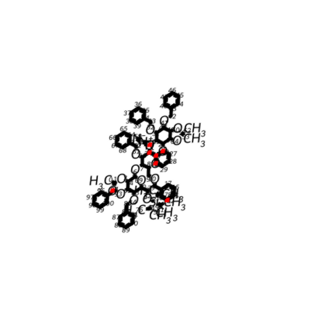 CC(=O)OC1C(OC2C(COCc3ccccc3)OC(OC3C(OCc4ccccc4)C(OCc4ccccc4)C(OCc4ccccc4)C4OC(C)(C)OC34)C(N=[N+]=[N-])C2OCc2ccccc2)OC(CO[Si](C(C)C)(C(C)C)C(C)C)C(OCc2ccccc2)C1OCc1ccccc1